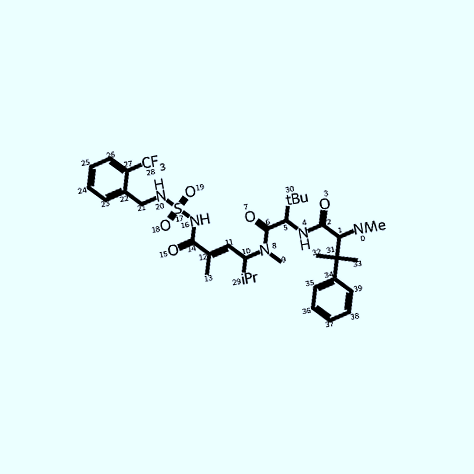 CNC(C(=O)NC(C(=O)N(C)C(C=C(C)C(=O)NS(=O)(=O)NCc1ccccc1C(F)(F)F)C(C)C)C(C)(C)C)C(C)(C)c1ccccc1